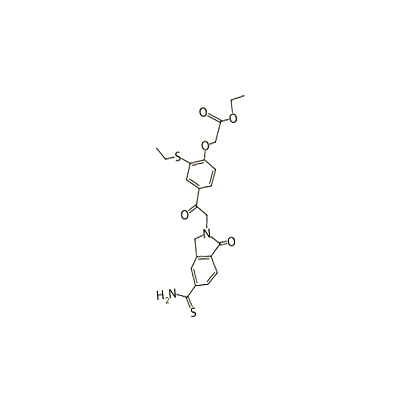 CCOC(=O)COc1ccc(C(=O)CN2Cc3cc(C(N)=S)ccc3C2=O)cc1SCC